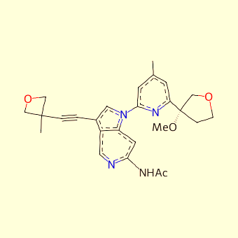 CO[C@@]1(c2cc(C)cc(-n3cc(C#CC4(C)COC4)c4cnc(NC(C)=O)cc43)n2)CCOC1